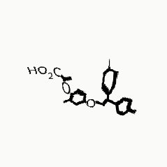 Cc1ccc(/C(=C/COc2ccc(OC(C)C(=O)O)c(C)c2)c2ccc(I)cc2)cc1